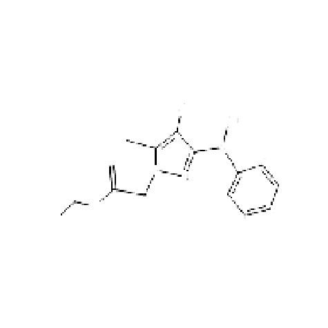 CCOC(=O)Cn1nc(N(C)c2ccccc2)c(Cl)c1Cl